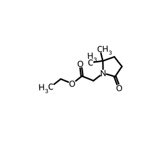 CCOC(=O)CN1C(=O)CCC1(C)C